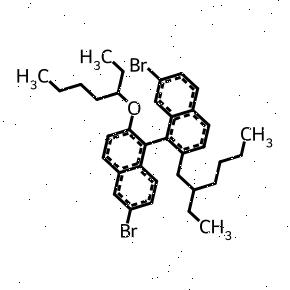 CCCCC(CC)Cc1ccc2ccc(Br)cc2c1-c1c(OC(CC)CCCC)ccc2cc(Br)ccc12